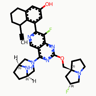 C#CC1CCCc2cc(O)cc(-c3ncc4c(N5C[C@H]6CC[C@@H](C5)N6)nc(OC[C@@]56CCCN5C[C@H](F)C6)nc4c3F)c21